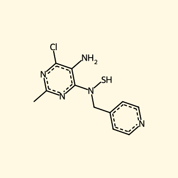 Cc1nc(Cl)c(N)c(N(S)Cc2ccncc2)n1